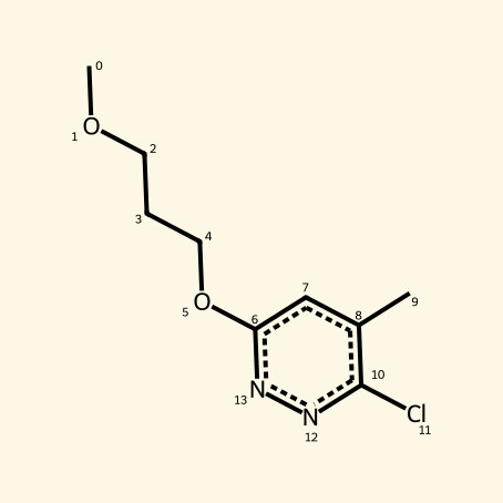 COCCCOc1cc(C)c(Cl)nn1